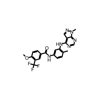 COc1ccc(C(=O)Nc2ccc(C)c(Nc3ncnc4c3cnn4C)c2)cc1C(F)(F)F